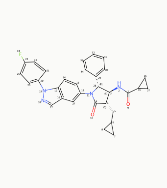 O=C(N[C@H]1[C@H](CC2CC2)C(=O)N(c2ccc3c(cnn3-c3ccc(F)cc3)c2)[C@@H]1c1ccccc1)C1CC1